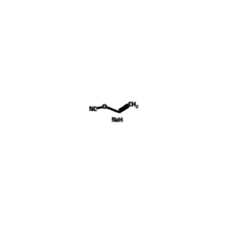 C=COC#N.[NaH]